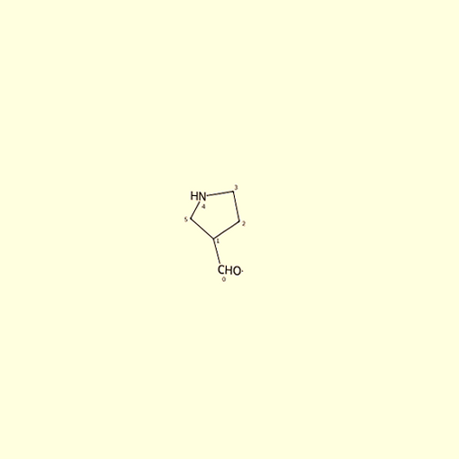 O=[C]C1CCNC1